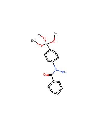 CCO[Si](OCC)(OCC)c1ccc(N(N)C(=O)c2ccccc2)cc1